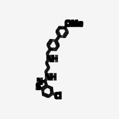 COc1ccc(-c2ccc(CNCCCNc3nsc4ccc(Cl)cc34)cc2)cc1